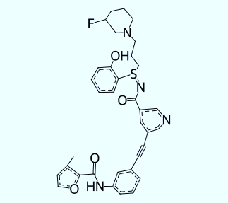 Cc1ccoc1C(=O)Nc1cccc(C#Cc2cncc(C(=O)N=S(CCCN3CCCC(F)C3)c3ccccc3O)c2)c1